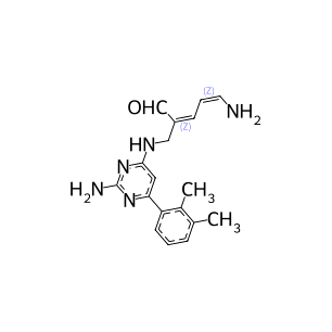 Cc1cccc(-c2cc(NC/C(C=O)=C/C=C\N)nc(N)n2)c1C